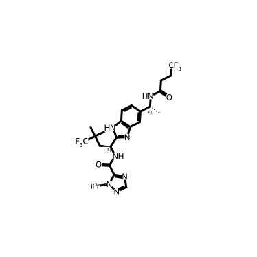 CC(C)n1ncnc1C(=O)N[C@@H](CC(C)(C)C(F)(F)F)c1nc2cc([C@@H](C)NC(=O)CCC(F)(F)F)ccc2[nH]1